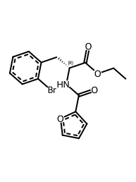 CCOC(=O)[C@@H](Cc1ccccc1Br)NC(=O)c1ccco1